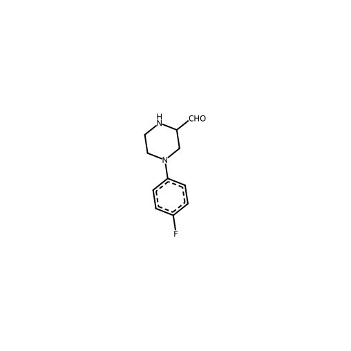 O=CC1CN(c2ccc(F)cc2)CCN1